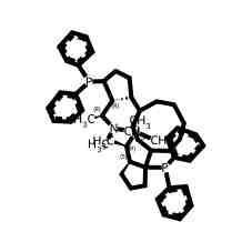 C[C@H]([C@H]1C(C2CCCCCC(C3(P(c4ccccc4)c4ccccc4)CCC[C@H]3[C@@H](C)N(C)C)CC2)CCC1P(c1ccccc1)c1ccccc1)N(C)C